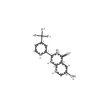 O=c1[nH]c(-c2cc(C(F)(F)F)ccn2)nc2ncc(O)cc12